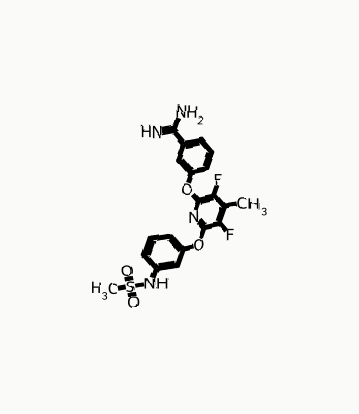 Cc1c(F)c(Oc2cccc(NS(C)(=O)=O)c2)nc(Oc2cccc(C(=N)N)c2)c1F